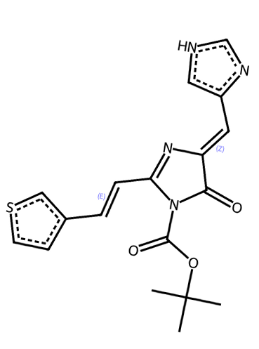 CC(C)(C)OC(=O)N1C(=O)/C(=C/c2c[nH]cn2)N=C1/C=C/c1ccsc1